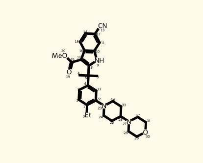 CCc1ccc(C(C)(C)c2[nH]c3cc(C#N)ccc3c2C(=O)OC)cc1N1CCC(N2CCOCC2)CC1